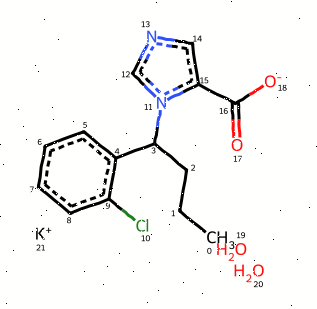 CCCC(c1ccccc1Cl)n1cncc1C(=O)[O-].O.O.[K+]